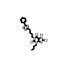 CCCCn1c(=O)n(CCCCc2noc(-c3ccccc3)n2)c(=O)c2[nH]c(Cl)nc21